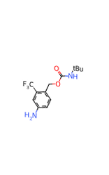 CC(C)(C)NC(=O)OCc1ccc(N)cc1C(F)(F)F